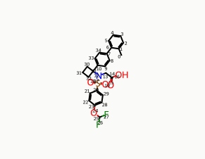 Cc1ccccc1-c1ccc(C2(N(CC(=O)O)S(=O)(=O)c3ccc(OC(F)F)cc3)CCC2)cc1